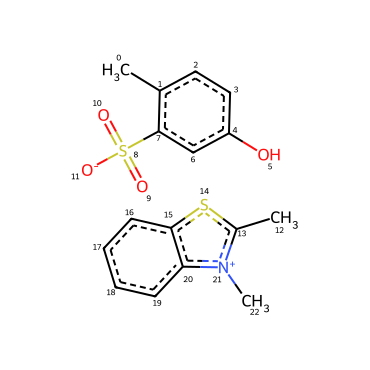 Cc1ccc(O)cc1S(=O)(=O)[O-].Cc1sc2ccccc2[n+]1C